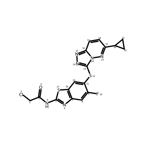 O=C(CCl)Nc1nc2cc(F)c(Sc3nnc4ccc(C5CC5)nn34)cc2s1